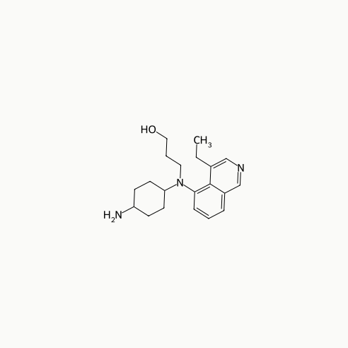 CCc1cncc2cccc(N(CCCO)C3CCC(N)CC3)c12